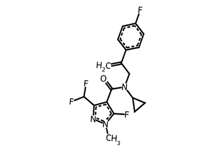 C=C(CN(C(=O)c1c(C(F)F)nn(C)c1F)C1CC1)c1ccc(F)cc1